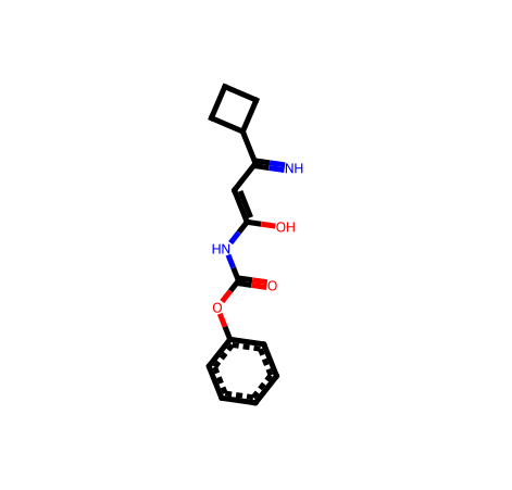 N=C(/C=C(\O)NC(=O)Oc1ccccc1)C1CCC1